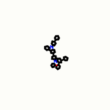 c1ccc(-c2ccc(-n3c4ccccc4c4cc(-c5ccc6c(c5)c5cc(-c7ccccc7)cc(-c7ccccc7)c5n6-c5ccccc5)ccc43)cc2)cc1